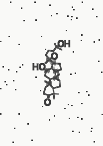 CC(C)(O)C1CC[C@@](C)([C@H]2CC[C@]3(C)C2[C@H](O)CC2[C@@]4(C)CCC(=O)C(C)(C)C4CC[C@]23C)O1